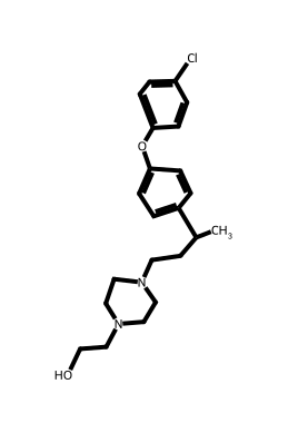 CC(CCN1CCN(CCO)CC1)c1ccc(Oc2ccc(Cl)cc2)cc1